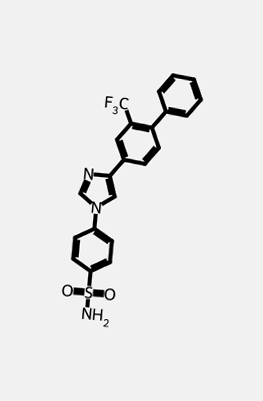 NS(=O)(=O)c1ccc(-n2cnc(-c3ccc(-c4ccccc4)c(C(F)(F)F)c3)c2)cc1